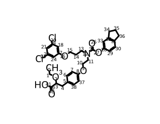 CCOC(Cc1ccc(OCCN(CCCOc2cc(Cl)cc(Cl)c2)C(=O)Oc2ccc3c(c2)CCC3)cc1)C(=O)O